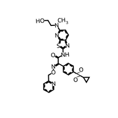 CN(CCO)c1ccc2nc(NC(=O)/C(=N/OCc3ccccn3)c3ccc(S(=O)(=O)C4CC4)cc3)sc2n1